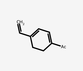 C=CC1=CC=C(C(C)=O)CC1